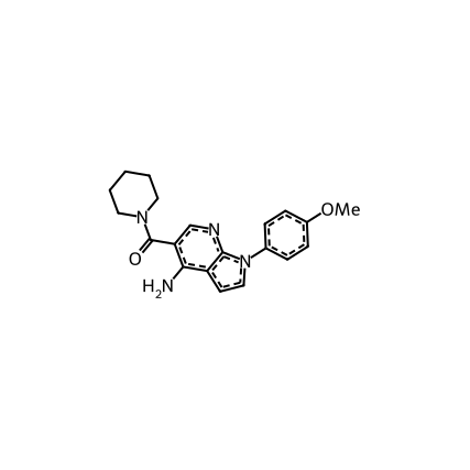 COc1ccc(-n2ccc3c(N)c(C(=O)N4CCCCC4)cnc32)cc1